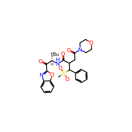 CC(C)(C)[C@H](NC(=O)C(CC(=O)N1CCOCC1)C(c1ccccc1)S(C)(=O)=O)C(=O)c1nc2ccccc2o1